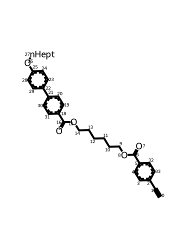 C#Cc1ccc(C(=O)OCCCCCCOC(=O)c2ccc(-c3ccc(OCCCCCCC)cc3)cc2)cc1